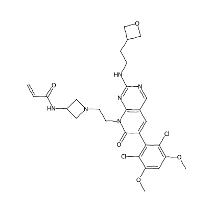 C=CC(=O)NC1CN(CCn2c(=O)c(-c3c(Cl)c(OC)cc(OC)c3Cl)cc3cnc(NCCC4COC4)nc32)C1